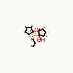 CCCP(C1(O)CCCC1)C1(O)CCCC1